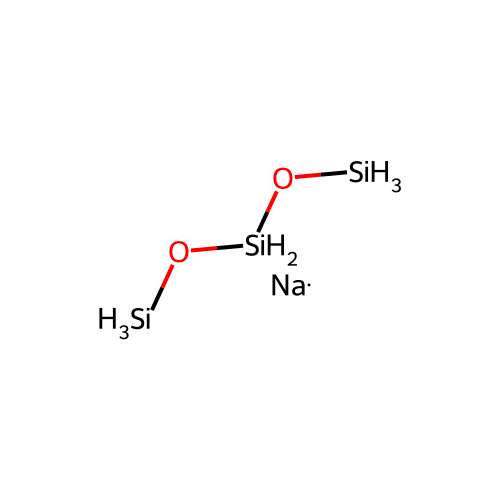 [Na].[SiH3]O[SiH2]O[SiH3]